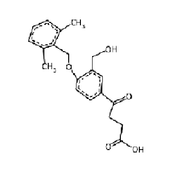 Cc1cccc(C)c1COc1ccc(C(=O)CCC(=O)O)cc1CO